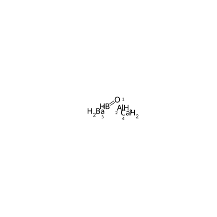 B=O.[AlH3].[BaH2].[CaH2]